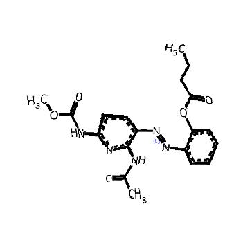 CCCC(=O)Oc1ccccc1/N=N/c1ccc(NC(=O)OC)nc1NC(C)=O